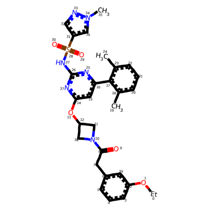 CCOc1cccc(CC(=O)N2CC(Oc3cc(-c4c(C)cccc4C)nc(NS(=O)(=O)c4cnn(C)c4)n3)C2)c1